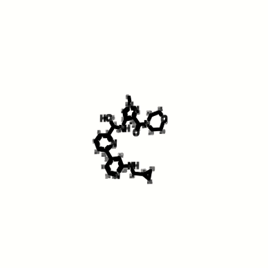 Cn1cc(NC(O)c2cccc(-c3ccnc(NCC4CC4)c3)n2)c(C(=O)N2CCOCC2)n1